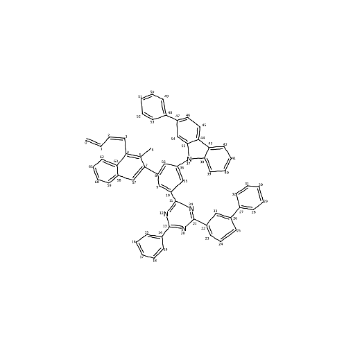 C=C/C=C\c1c(C)c(-c2cc(-c3nc(-c4ccccc4)nc(-c4cccc(-c5ccccc5)c4)n3)cc(-n3c4ccccc4c4ccc(-c5ccccc5)cc43)c2)cc2ccccc12